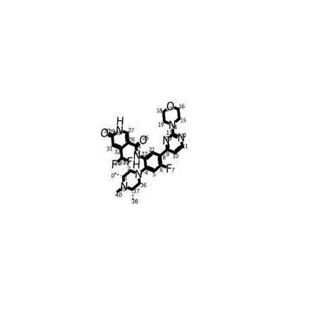 C[C@@H]1CN(c2cc(F)c(-c3ccnc(N4CCOCC4)n3)cc2NC(=O)c2c[nH]c(=O)cc2C(F)F)C[C@H](C)N1C